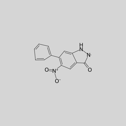 O=C1[N]Nc2cc(-c3ccccc3)c([N+](=O)[O-])cc21